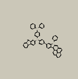 CC1(C)c2ccccc2-c2ccc(N(c3ccc(-c4ccc5c6c7ccc8cccc9ccc(cc6n(-c6ccccc6)c5c4)c7c98)cc3)c3ccc(N(c4ccccc4)c4ccccc4)cc3)cc21